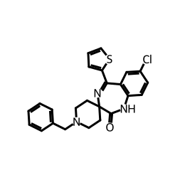 O=C1Nc2ccc(Cl)cc2C(c2cccs2)=NC12CCN(Cc1ccccc1)CC2